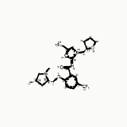 CN1C[C@@H](F)C[C@H]1COc1ccc(C(F)(F)F)cc1C(=O)N=c1sc(C(C)(C)C)cn1C[C@H]1CCCO1